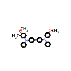 COC1=CC=C(N(c2ccccc2)c2ccc(-c3ccc(N(c4ccccc4)c4ccc(OC)cc4)cc3)cc2)CC1C